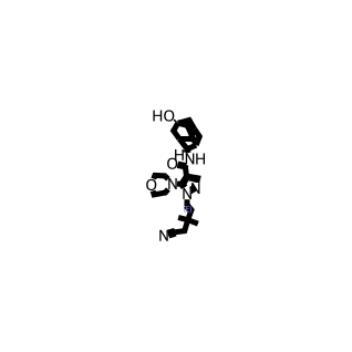 CC(C)(/C=C/n1ncc(C(=O)N[C@H]2C3CC4CC2C[C@](O)(C4)C3)c1N1CCOCC1)CC#N